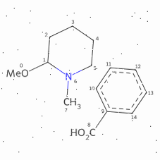 COC1CCCCN1C.O=C(O)c1ccccc1